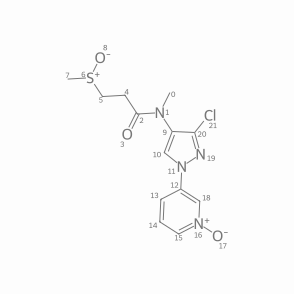 CN(C(=O)CC[S+](C)[O-])c1cn(-c2ccc[n+]([O-])c2)nc1Cl